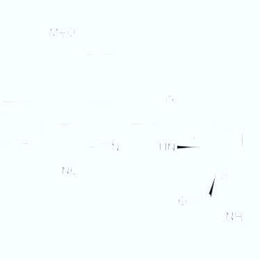 COc1ccc2c(C(=O)N[C@H]3CCC[C@H]3C(N)=O)nc(C#N)c(-c3ccccc3)c2c1